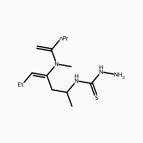 C=C(CCC)N(C)/C(=C/CC)CC(C)NC(=S)NN